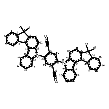 CC1(C)c2ccccc2-c2c1ccc1c2c2ccccc2n1-c1cc(C#N)c(-n2c3ccccc3c3c4c(ccc32)C(C)(C)c2ccccc2-4)cc1C#N